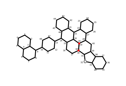 C1CCC2C(C1)CCCC2C1CCC(C2C3CCCCC3C(C3CCCCC3C3CCC4OC5CCCCC5C4C3)C3CCCCC32)CC1